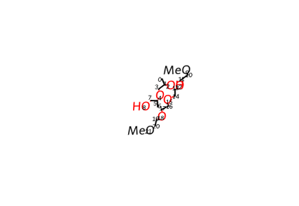 CC(O)COC(C)CO.COCCOCCOCCOCCOC